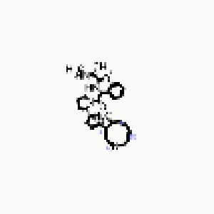 C=C1/C=C\C=C/C/N=C\C=C/1C1=CCC([C@@H]2CCCN2C(=O)[C@@H](NC(=O)[C@H](C)NC)c2ccccc2)=N1